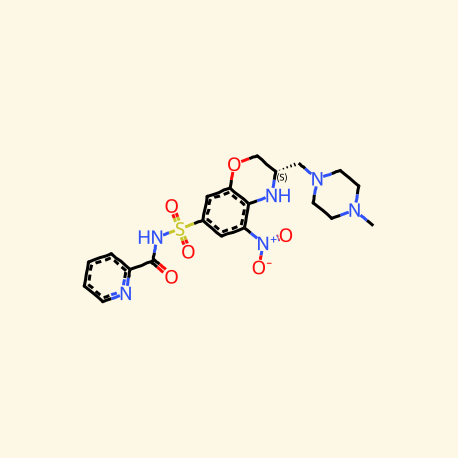 CN1CCN(C[C@H]2COc3cc(S(=O)(=O)NC(=O)c4ccccn4)cc([N+](=O)[O-])c3N2)CC1